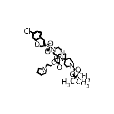 CC(C)(C)OC(=O)N1CCC(CN2CCN(S(=O)(=O)C3=Cc4ccc(Cl)cc4OC3)CC2=O)(NC(=O)OCCN2CCCC2)CC1